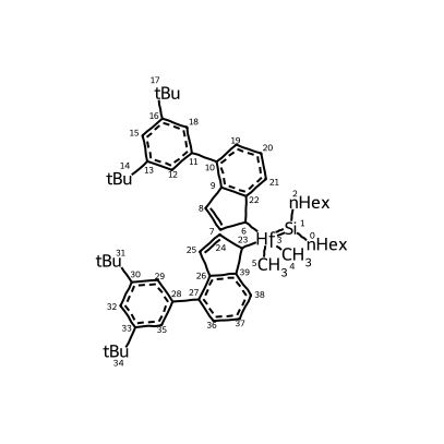 CCCCCC[Si](CCCCCC)=[Hf]([CH3])([CH3])([CH]1C=Cc2c(-c3cc(C(C)(C)C)cc(C(C)(C)C)c3)cccc21)[CH]1C=Cc2c(-c3cc(C(C)(C)C)cc(C(C)(C)C)c3)cccc21